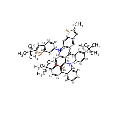 Cc1cc2cc3c(cc2s1)N(c1ccc2cc(C(C)(C)C)sc2c1)c1cccc2c1B3c1cc(C(C)(C)C)ccc1N2c1ccccc1-c1ccc(C(C)(C)C)cc1